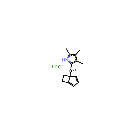 Cc1[nH][c]([Zr+2][C]23C=CC=C2CC3)c(C)c1C.[Cl-].[Cl-]